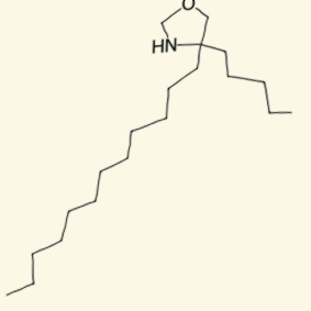 CCCCCCCCCCCCC1(CCCCC)COCN1